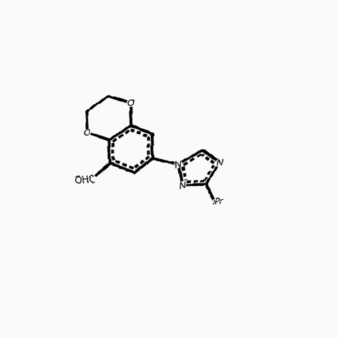 CC(C)c1ncn(-c2cc(C=O)c3c(c2)OCCO3)n1